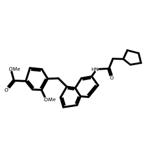 COC(=O)c1ccc(Cc2cccc3ccc(NC(=O)CC4CCCC4)cc23)c(OC)c1